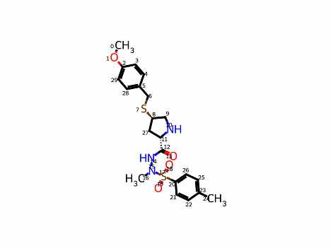 COc1ccc(CS[C@H]2CN[C@H](C(=O)NN(C)S(=O)(=O)c3ccc(C)cc3)C2)cc1